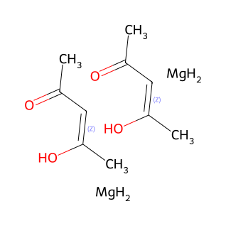 CC(=O)/C=C(/C)O.CC(=O)/C=C(/C)O.[MgH2].[MgH2]